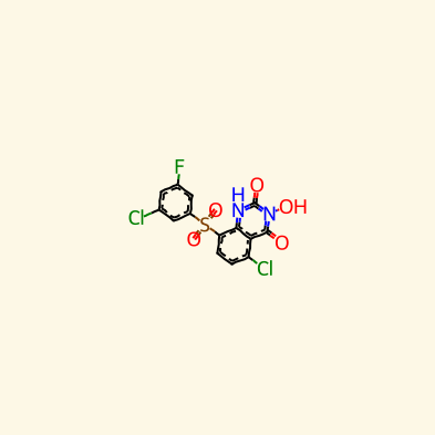 O=c1[nH]c2c(S(=O)(=O)c3cc(F)cc(Cl)c3)ccc(Cl)c2c(=O)n1O